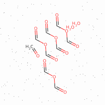 C=O.O.O.O=COC=O.O=COC=O.O=COC=O.O=COC=O